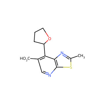 Cc1nc2c(C3CCCO3)c(C(=O)O)cnc2s1